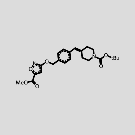 COC(=O)c1cc(OCc2ccc(C=C3CCN(C(=O)OC(C)(C)C)CC3)cc2)no1